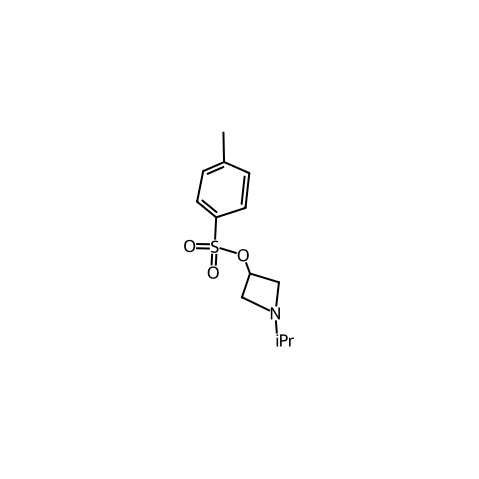 Cc1ccc(S(=O)(=O)OC2CN(C(C)C)C2)cc1